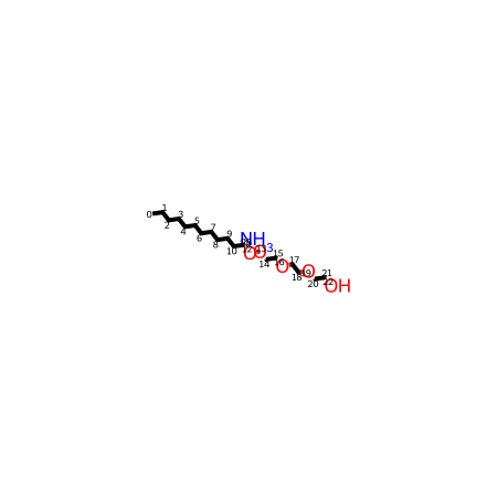 CCCCCCCCCCCCOOCCOCCOCCO.N